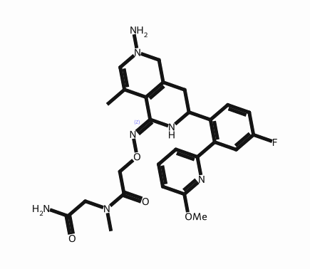 COc1cccc(-c2cc(F)ccc2C2CC3=C(C(C)=CN(N)C3)/C(=N/OCC(=O)N(C)CC(N)=O)N2)n1